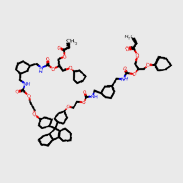 C=CC(=O)OCC(COC1CCCCC1)OC(=O)NCC1CCCC(CNC(=O)OCCOC2CCC(C3(C4CCC(OCCOC(=O)NCC5CCCC(CNC(=O)OC(COC(=O)C=C)COC6CCCCC6)C5)CC4)C4CCCCC4C4CCCCC43)CC2)C1